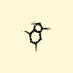 CC(C)c1c[nH]c2c(I)cc(Br)cc12